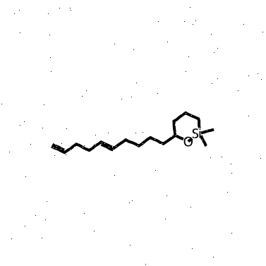 C=CCCC=CCCCCC1CCC[Si](C)(C)O1